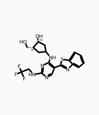 OC[C@H]1CC(Nc2nc(NCC(F)(F)F)ncc2-c2nc3ccccc3s2)C[C@@H]1O